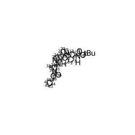 Cc1ccc2c(NC(=O)OC(C)(C)C)cccc2c1Oc1ncccc1-c1ccnc(N[C@H]2C[C@@H](C)CN(C(=O)OCc3ccccc3)C2)n1